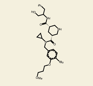 COCCCOc1cc(CN(C(=O)[C@H]2CNC[C@@H](C(=O)NC(CO)CC(C)C)C2)C2CC2)ccc1C(C)(C)C